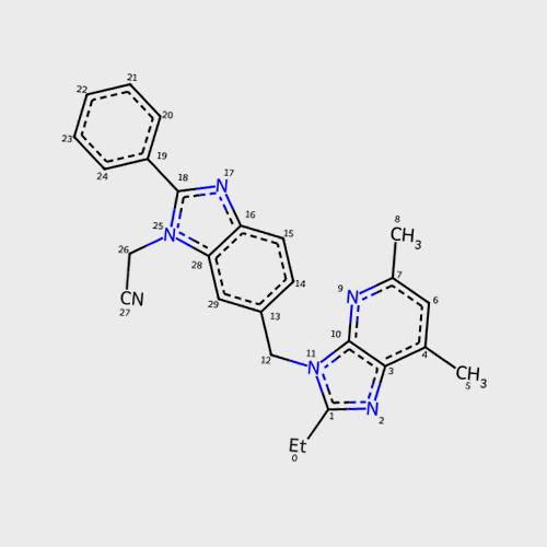 CCc1nc2c(C)cc(C)nc2n1Cc1ccc2nc(-c3ccccc3)n(CC#N)c2c1